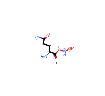 NC(=O)CC[C@H](N)C(=O)ONO